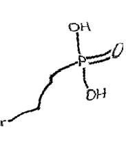 O=P(O)(O)CCBr